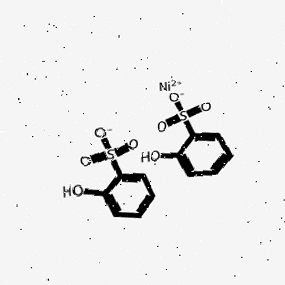 O=S(=O)([O-])c1ccccc1O.O=S(=O)([O-])c1ccccc1O.[Ni+2]